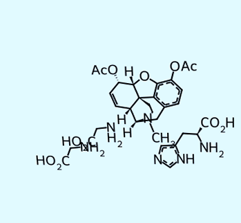 CC(=O)Oc1ccc2c3c1O[C@H]1[C@@H](OC(C)=O)C=C[C@H]4[C@@H](C2)N(C)CC[C@@]341.NCC(=O)O.NCC(=O)O.N[C@@H](Cc1cnc[nH]1)C(=O)O